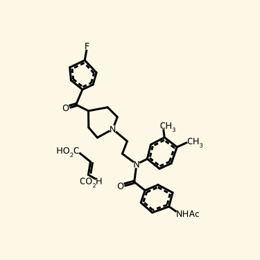 CC(=O)Nc1ccc(C(=O)N(CCN2CCC(C(=O)c3ccc(F)cc3)CC2)c2ccc(C)c(C)c2)cc1.O=C(O)/C=C/C(=O)O